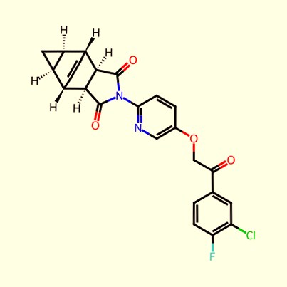 O=C(COc1ccc(N2C(=O)[C@@H]3[C@@H]4C=C[C@@H]([C@H]5C[C@@H]45)[C@@H]3C2=O)nc1)c1ccc(F)c(Cl)c1